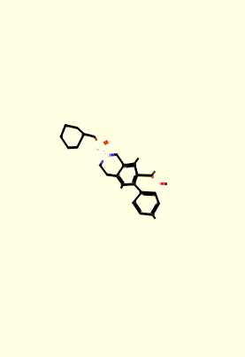 Cc1ccc(-c2c(C)c3c(c(C)c2C(OC(C)(C)C)C(=O)O)CN(S(=O)(=O)CC2CCCCC2)CC3)cc1